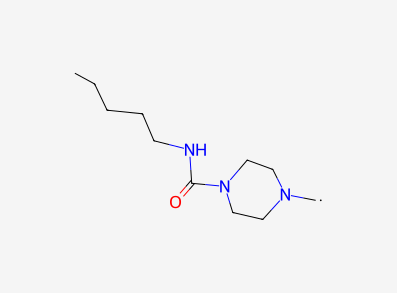 [CH2]N1CCN(C(=O)NCCCCC)CC1